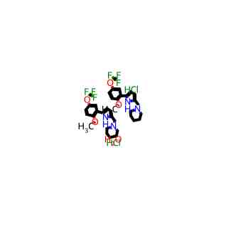 COc1ccc(OC(F)(F)F)cc1-c1ccc(CN2CCCCC2)[nH]1.COc1ccc(OC(F)(F)F)cc1-c1ccc(CN2CCCCC2)[nH]1.Cl.Cl.O